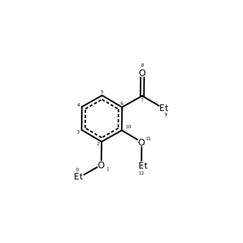 CCOc1cccc(C(=O)CC)c1OCC